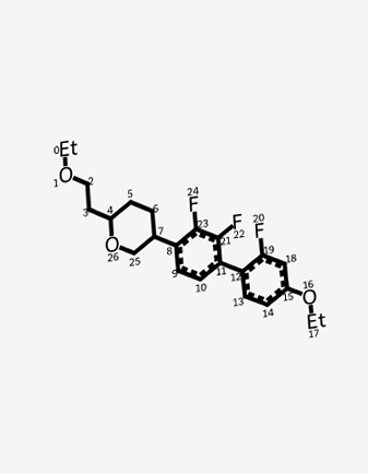 CCOCCC1CCC(c2ccc(-c3ccc(OCC)cc3F)c(F)c2F)CO1